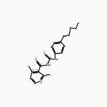 CCCCCc1ccc(NC(=S)NC(=O)c2c(C)ccnc2C)cc1